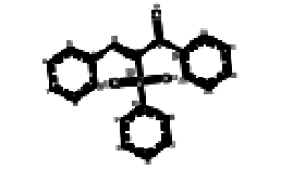 O=C(C(=Cc1ccccc1)S(=O)(=O)c1ccccc1)c1ccccc1